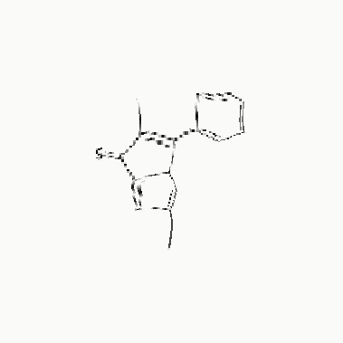 CC1=CC2C(=C1)C(=S)C(C)=C2c1ccccc1